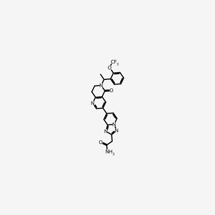 CC(c1ccccc1OC(F)(F)F)N1CCc2ncc(-c3ccn4nc(CC(N)=O)nc4c3)cc2C1=O